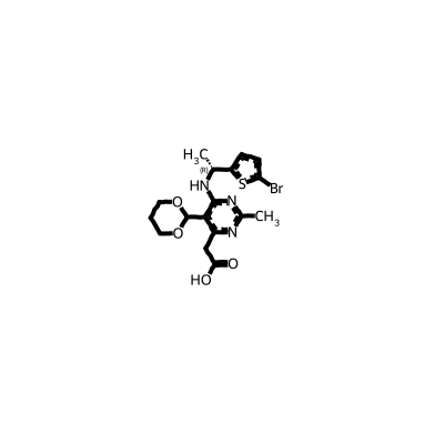 Cc1nc(CC(=O)O)c(C2OCCCO2)c(N[C@H](C)c2ccc(Br)s2)n1